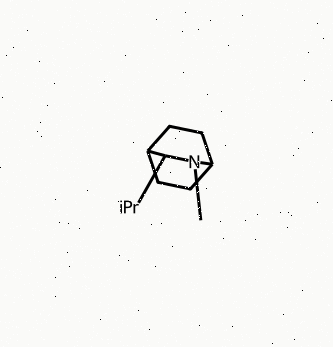 CC(C)C1C2CCC(CC2)N1C